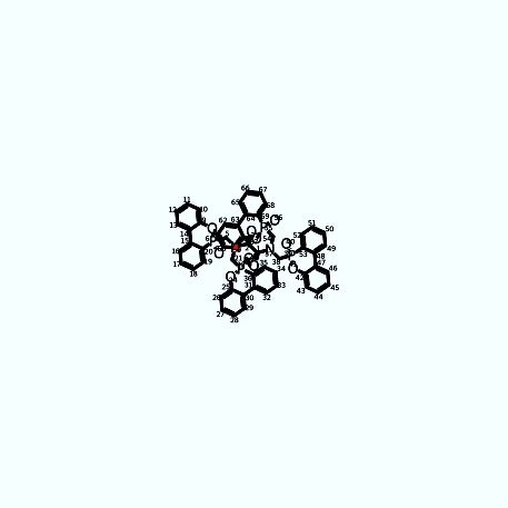 O=C(C(=O)N(CP1(=O)Oc2ccccc2-c2ccccc21)CP1(=O)Oc2ccccc2-c2ccccc21)N(CP1(=O)Oc2ccccc2-c2ccccc21)CP1(=O)Oc2ccccc2-c2ccccc21